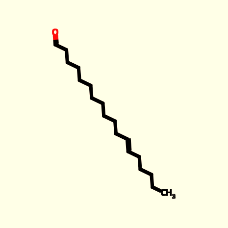 CCCCCC=CCCCCCCCCCCC=O